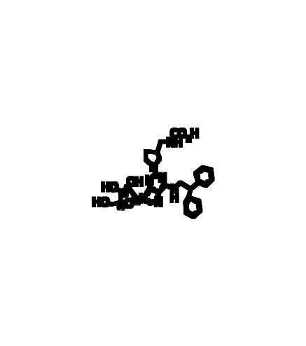 O=C(O)NCC1CCN(c2nc(NCC(c3ccccc3)c3ccccc3)c3ncn([C@@H]4O[C@H](CO)[C@@H](O)[C@H]4O)c3n2)C1